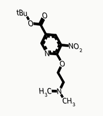 CN(C)CCOc1ncc(C(=O)OC(C)(C)C)cc1[N+](=O)[O-]